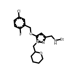 CCNCc1cc(OCc2cc(Cl)ccc2F)n(CC2CCCCO2)n1